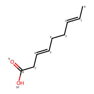 C/C=C/CC/C=C/CC(=O)O